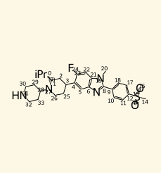 CC(C)[C@H]1CC(c2cc3nc(-c4ccc(S(C)(=O)=O)cc4)n(C)c3cc2F)CCN1C1CCNCC1